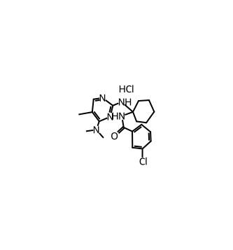 Cc1cnc(NC2(NC(=O)c3cccc(Cl)c3)CCCCC2)nc1N(C)C.Cl